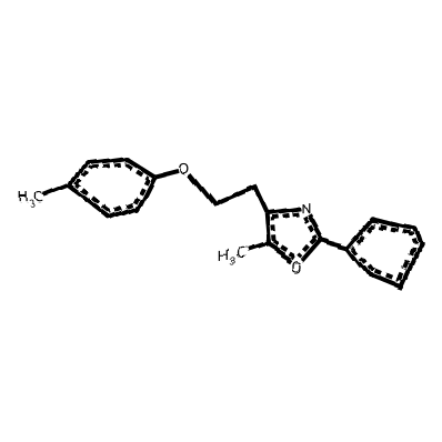 Cc1ccc(OCCc2nc(-c3ccccc3)oc2C)cc1